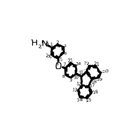 Nc1cccc(Oc2ccc(C3c4ccccc4-c4ccccc43)cc2)c1